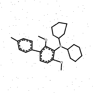 COc1ccc(-c2ccc(C)cc2)c(OC)c1P(C1CCCCC1)C1CCCCC1